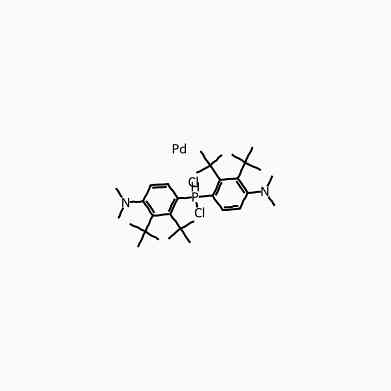 CN(C)c1ccc([PH](Cl)(Cl)c2ccc(N(C)C)c(C(C)(C)C)c2C(C)(C)C)c(C(C)(C)C)c1C(C)(C)C.[Pd]